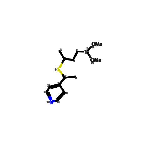 C[O][Ti]([CH2]CC(C)SC(C)c1ccncc1)[O]C